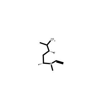 C=CN(C)[C@H](C)C[C@@H](F)C(C)C(F)(F)F